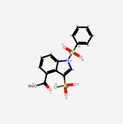 COC(=O)c1cccc2c1c(S(=O)(=O)Cl)cn2S(=O)(=O)c1ccccc1